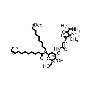 CCCCCCCC/C=C\CCCCCCCC(=O)N(CCCCCCCCCCCCCCCCCC)[C@H]1C[C@H](ONC(=O)CNC(=O)[C@](C)(N)C(=O)[C@H](C)N)[C@@H](O)[C@@H](CO)O1